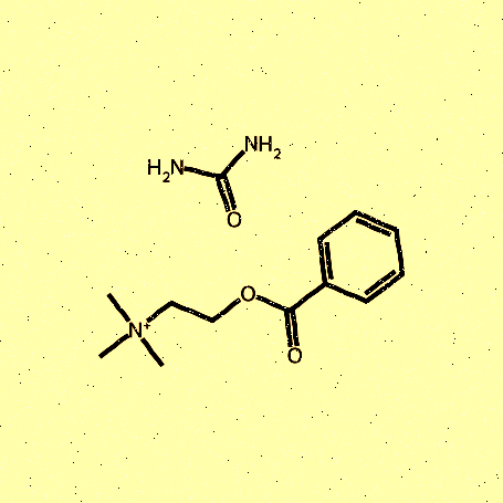 C[N+](C)(C)CCOC(=O)c1ccccc1.NC(N)=O